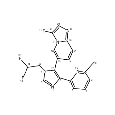 Cc1cccc(-c2ncn(CC(F)F)c2-c2ccc3ncc(F)n3c2)n1